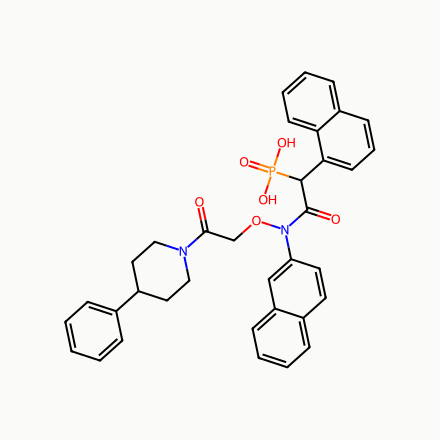 O=C(CON(C(=O)C(c1cccc2ccccc12)P(=O)(O)O)c1ccc2ccccc2c1)N1CCC(c2ccccc2)CC1